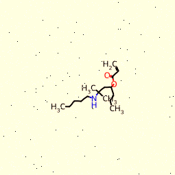 C=CC(=O)OC(CCC)CC(C)(C)NCCCCC